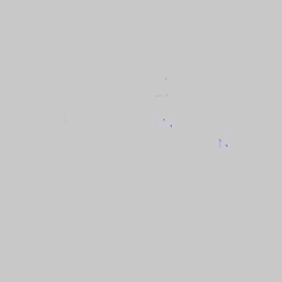 Cl.Cl.Clc1ccc(CNCCN2CCCC2)cc1